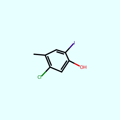 Cc1cc(I)c(O)cc1Cl